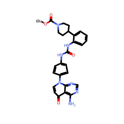 CC(C)(C)OC(=O)N1CCC(c2ccccc2NC(=O)Nc2ccc(-n3ccc(=O)c4c(N)ncnc43)cc2)CC1